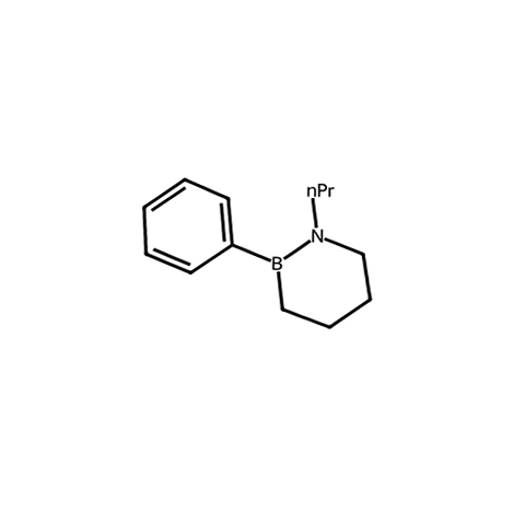 CCCN1CCCCB1c1ccccc1